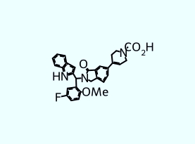 COc1ccc(F)cc1C(c1cc2ccccc2[nH]1)N1Cc2ccc(C3=CCN(C(=O)O)CC3)cc2C1=O